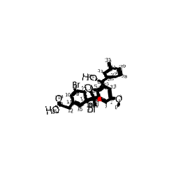 COc1ccc(OC2C(Br)=CC(CC(=O)O)=CC2(Br)C(C)(C)C)c(C(O)c2cccc(C)c2)c1